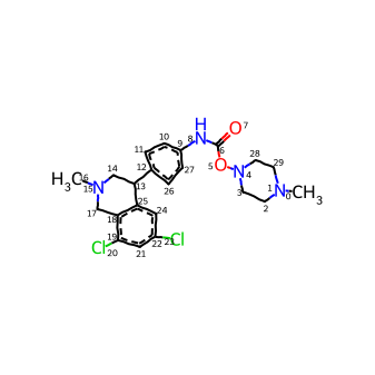 CN1CCN(OC(=O)Nc2ccc(C3CN(C)Cc4c(Cl)cc(Cl)cc43)cc2)CC1